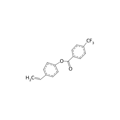 C=Cc1ccc(OC(=O)c2ccc(C(F)(F)F)cc2)cc1